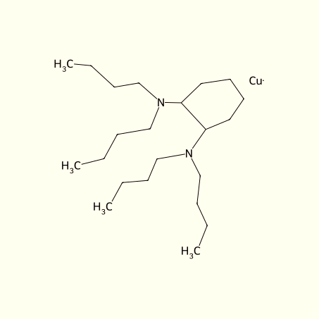 CCCCN(CCCC)C1CCCCC1N(CCCC)CCCC.[Cu]